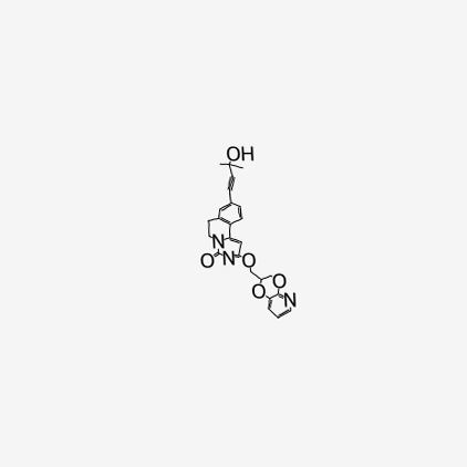 CC(C)(O)C#Cc1ccc2c(c1)CCn1c-2cc(OCC2COc3ncccc3O2)nc1=O